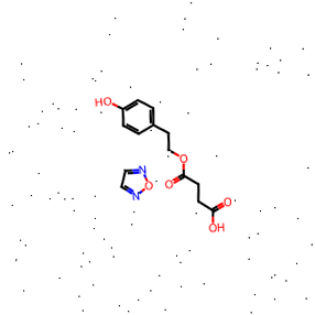 O=C(O)CCC(=O)OCCc1ccc(O)cc1.c1cnon1